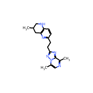 Cc1ncc(C)n2nc(CCc3ccc4c(n3)CC(C)CN4)nc12